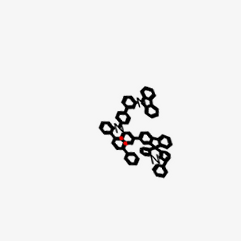 c1ccc(-c2ccc(-c3ccccc3N(c3ccc(-c4cccc(-n5c6ccccc6c6ccccc65)c4)cc3)c3cccc(-c4ccc5c(c4)C4(c6ccccc6-5)c5ccccc5-n5c6ccccc6c6cccc4c65)c3)cc2)cc1